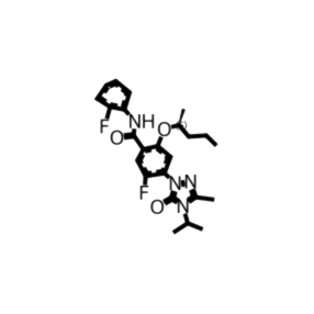 CCC[C@H](C)Oc1cc(-n2nc(C)n(C(C)C)c2=O)c(F)cc1C(=O)Nc1ccccc1F